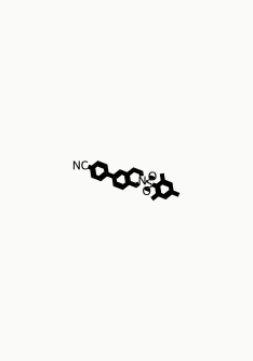 Cc1cc(C)c(S(=O)(=O)N2CCc3cc(-c4ccc(C#N)cc4)ccc3C2)c(C)c1